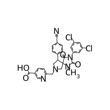 CN1C(=O)N(c2cc(Cl)cc(Cl)c2)C(=O)C12CN(Cc1ccc(C(=O)O)cn1)CC2c1ccc(C#N)cc1